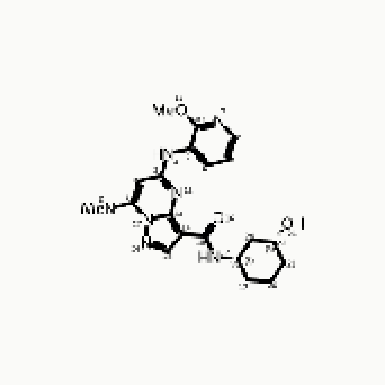 CNc1cc(Nc2cccnc2OC)nc2c(C(=O)N[C@@H]3CCC[C@@H](O)C3)cnn12